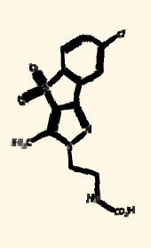 Cc1c2c(nn1CCNC(=O)O)-c1cc(Cl)ccc1S2(=O)=O